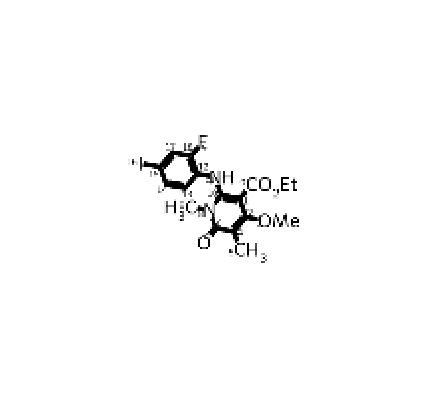 CCOC(=O)c1c(OC)c(C)c(=O)n(C)c1Nc1ccc(I)cc1F